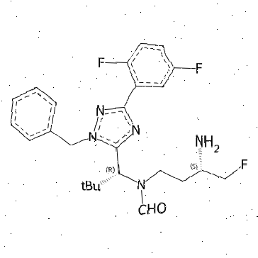 CC(C)(C)[C@H](c1nc(-c2cc(F)ccc2F)nn1Cc1ccccc1)N(C=O)CC[C@H](N)CF